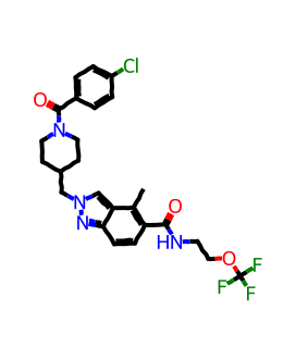 Cc1c(C(=O)NCCOC(F)(F)F)ccc2nn(CC3CCN(C(=O)c4ccc(Cl)cc4)CC3)cc12